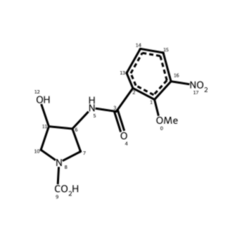 COc1c(C(=O)NC2CN(C(=O)O)CC2O)cccc1[N+](=O)[O-]